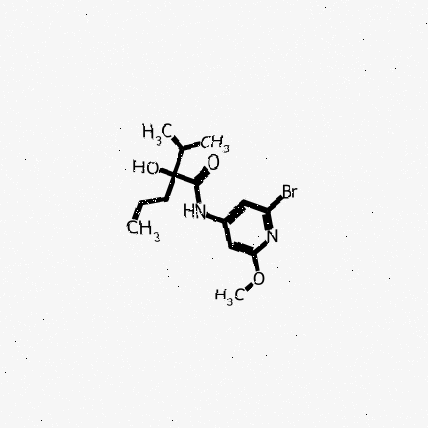 CCCC(O)(C(=O)Nc1cc(Br)nc(OC)c1)C(C)C